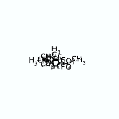 CCOC(=O)C(F)(F)c1cccc(/C(C)=N\[S+]([O-])C(C)(C)C)c1F